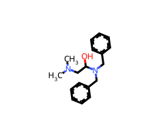 CN(C)CC(O)N(Cc1ccccc1)Cc1ccccc1